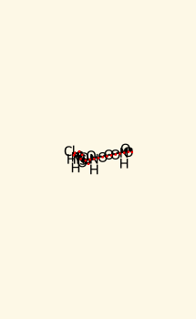 CC(C)(C)OC(=O)NCCCOCCOCCOCCCNC(=O)c1cccc(S(=O)(=O)Nc2cccc3c(Cl)c[nH]c23)c1